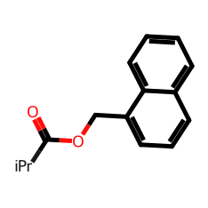 CC(C)C(=O)OCc1cccc2ccccc12